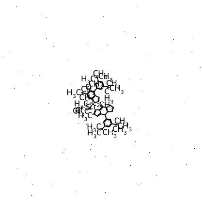 COc1c(C(C)(C)C)cc2c(c1-c1cc(C(C)(C)C)cc(C(C)(C)C)c1)C=C(C)[CH]2[Zr+2]([C]1=C(C)C=C2C1=CC1=C(CCC1)C2c1cc(C(C)(C)C)cc(C(C)(C)C)c1)=[Si](C)C.[Cl-].[Cl-]